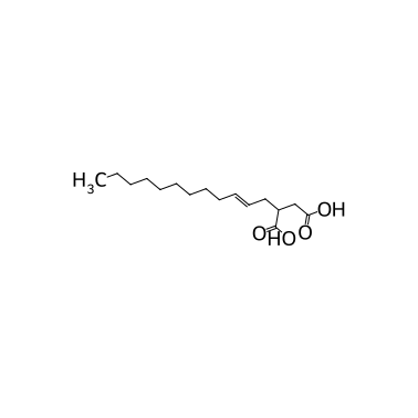 CCCCCCCCC/C=C/CC(CC(=O)O)C(=O)O